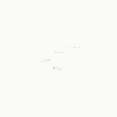 CCCCCC(=CC#N)C(=O)O